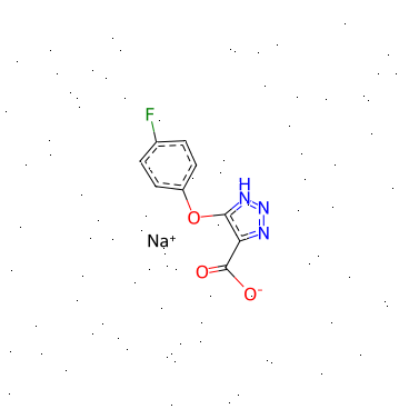 O=C([O-])c1nn[nH]c1Oc1ccc(F)cc1.[Na+]